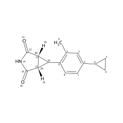 Cc1cc(C2CC2)ccc1C1[C@H]2C(=O)NC(=O)[C@@H]12